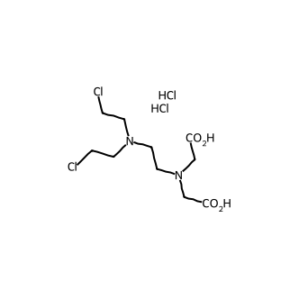 Cl.Cl.O=C(O)CN(CCN(CCCl)CCCl)CC(=O)O